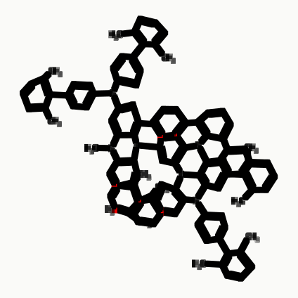 Cc1cccc(C)c1-c1ccc(N(c2ccc(-c3c(C)cccc3C)cc2)c2cc3c4c(c2)N(C)c2ccc(-c5c(C)cccc5C)cc2B4c2cc4c(cc2O3)N(c2c(-c3ccccc3)cccc2-c2ccccc2)c2cc(-c3c(C)cccc3C)cc3c2B4c2cc(-c4c(C)cccc4C)ccc2N3c2ccc(-c3c(C)cccc3C)cc2)cc1